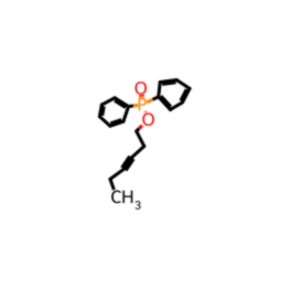 CCC#CCCOP(=O)(c1ccccc1)c1ccccc1